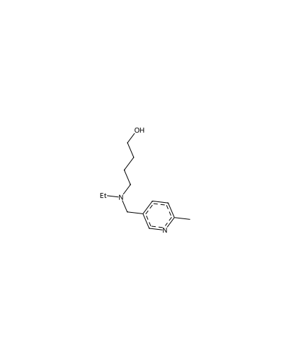 CCN(CCCCO)Cc1ccc(C)nc1